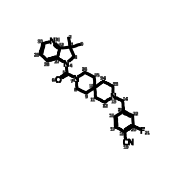 CC1(C)CN(C(=O)N2CCC3(CCN(Cc4ccc(C#N)c(F)c4)CC3)CC2)c2cccnc21